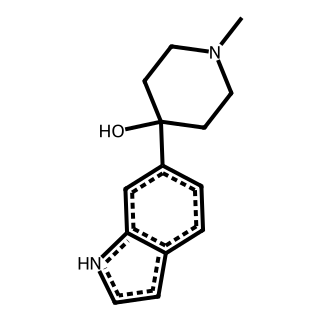 CN1CCC(O)(c2ccc3cc[nH]c3c2)CC1